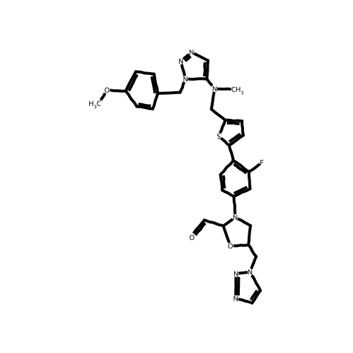 COc1ccc(Cn2nncc2N(C)Cc2ccc(-c3ccc(N4CC(Cn5ccnn5)OC4C=O)cc3F)s2)cc1